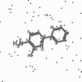 Nc1ncc(-c2ccccc2)nc1I